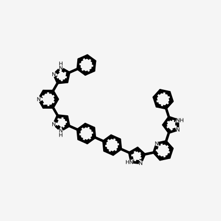 c1ccc(-c2cc(-c3cncc(-c4cc(-c5ccc(-c6ccc(-c7cc(-c8cccc(-c9cc(-c%10ccccc%10)[nH]n9)n8)n[nH]7)cc6)cc5)[nH]n4)c3)n[nH]2)cc1